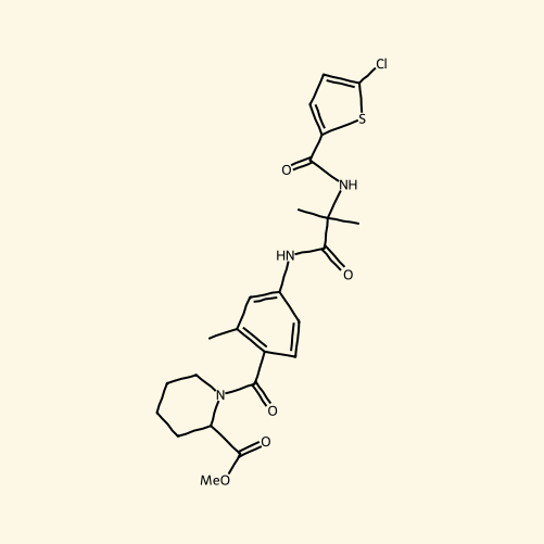 COC(=O)C1CCCCN1C(=O)c1ccc(NC(=O)C(C)(C)NC(=O)c2ccc(Cl)s2)cc1C